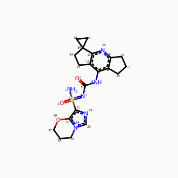 NS(=O)(=NC(=O)Nc1c2c(nc3c1CCC31CC1)CCC2)c1ncn2c1OCCC2